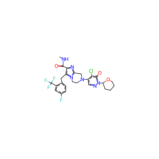 CNC(=O)c1nc2n(c1Cc1ccc(F)cc1C(F)(F)F)CCN(c1cnn(C3CCCCO3)c(=O)c1Cl)C2